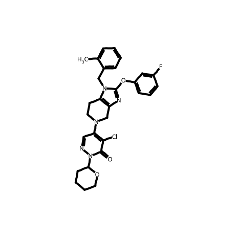 Cc1ccccc1Cn1c(Oc2cccc(F)c2)nc2c1CCN(c1cnn(C3CCCCO3)c(=O)c1Cl)C2